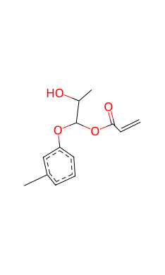 C=CC(=O)OC(Oc1cccc(C)c1)C(C)O